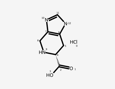 Cl.O=C(O)[C@H]1CC2=C(CN1)N=C[N]2